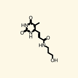 Cc1c(/C=C/C(=O)NCCCO)[nH]c(=O)[nH]c1=O